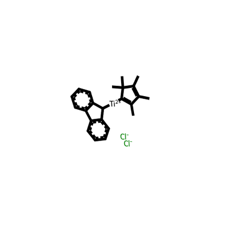 CC1=C(C)C(C)(C)[C]([Ti+2][CH]2c3ccccc3-c3ccccc32)=C1C.[Cl-].[Cl-]